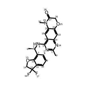 Cc1nc(N[C@H](C)c2cccc3c2OCC3(F)F)c2cc3c(cc2n1)OCC(=O)N3C